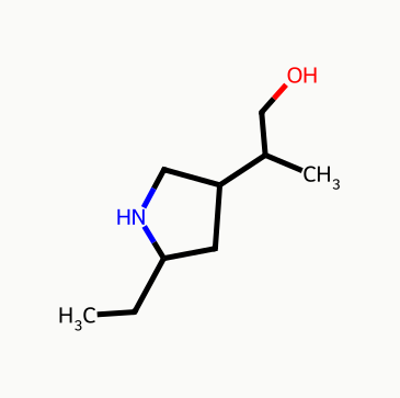 CCC1CC(C(C)CO)CN1